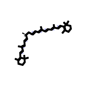 CC1=C(/C=C/C(C)=C/C=C/C(C)=C/C=C/C[C@@H](C)/C=C/C=C(C)/C=C/C2=C(C)CCCC2(C)C)C(C)(C)CCC1